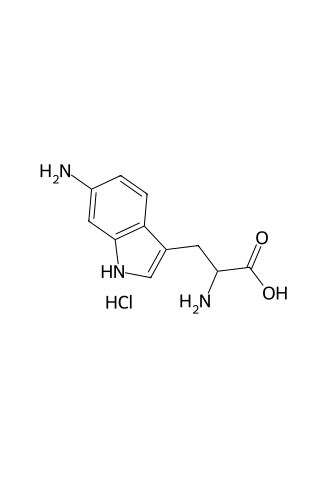 Cl.Nc1ccc2c(CC(N)C(=O)O)c[nH]c2c1